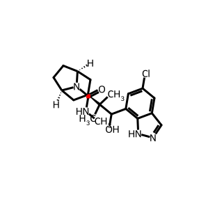 CNC(=O)N1[C@@H]2CC[C@H]1C[C@@H](C(C)(C)C(O)c1cc(Cl)cc3cn[nH]c13)C2